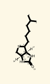 CC(C)CCCCC1SC[C@@H]2NC(=O)N[C@H]12